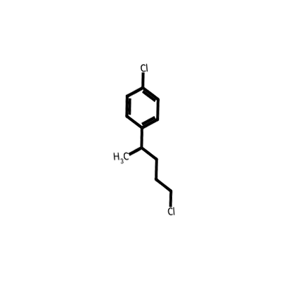 CC(CCCCl)c1ccc(Cl)cc1